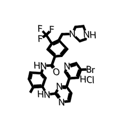 Cc1ccc(NC(=O)c2ccc(CN3CCNCC3)c(C(F)(F)F)c2)cc1Nc1nccc(-c2cncc(Br)c2)n1.Cl